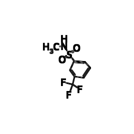 CNS(=O)(=O)c1cccc(C(F)(F)F)c1